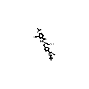 CC(C)Oc1ccc(C(=O)NN(CCO)Cc2ccc(-c3cn(C)c(C(C)(C)C)n3)cc2)cc1C#N